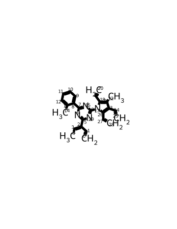 C=C/C(=C\C)c1nc(-c2ccccc2C)nc(-n2c(C=C)c(C)c(C=C)c2C=C)n1